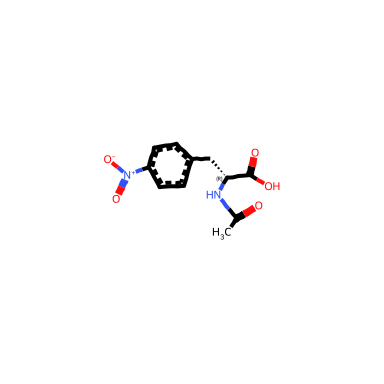 CC(=O)N[C@H](Cc1ccc([N+](=O)[O-])cc1)C(=O)O